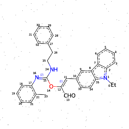 CCn1c2ccccc2c2cc(/C=C(\C=O)O/C(=N\c3ccccc3C)NCCc3ccccc3)ccc21